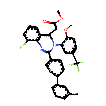 COC(=O)CC1c2cccc(F)c2N=C(c2ccc(-c3cccc(C)c3)cc2)N1c1cc(C(F)(F)F)ccc1OC